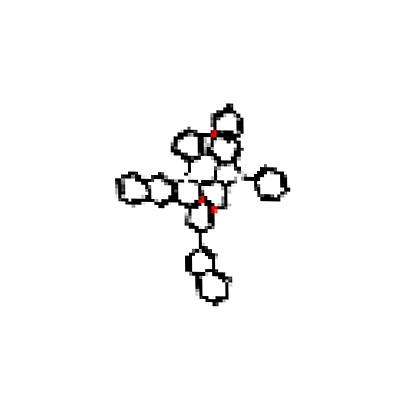 c1ccc(-c2cccc(N(c3cc4ccccc4cc3-c3cccc(-c4ccc5ccccc5c4)c3)c3cccc4c3c3ccccc3n4-c3ccccc3)c2)cc1